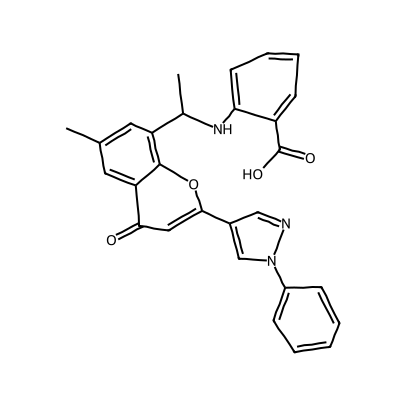 Cc1cc(C(C)Nc2ccccc2C(=O)O)c2oc(-c3cnn(-c4ccccc4)c3)cc(=O)c2c1